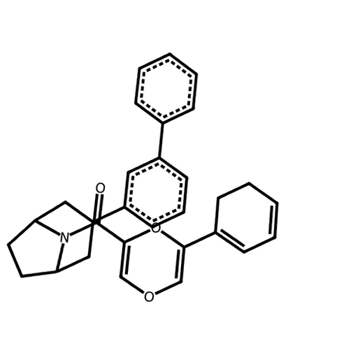 O=C(C1=COC=C(C2=CC=CCC2)O1)N1C2CCC1CC(c1cccc(-c3ccccc3)c1)C2